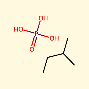 CCC(C)C.O=P(O)(O)O